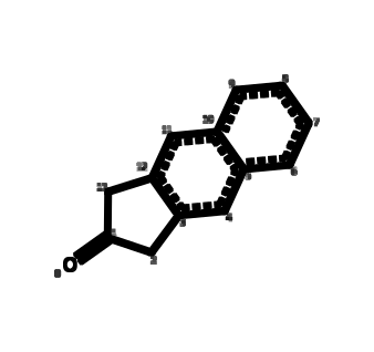 O=C1Cc2cc3ccccc3cc2C1